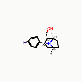 CN1[C@H]2CC[C@@H]1[C@@H](CO)[C@@H](c1ccc(I)cc1)C2